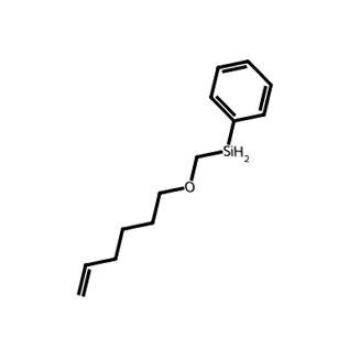 C=CCCCCOC[SiH2]c1ccccc1